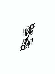 Cc1ccc(S(=O)(=O)NC(=O)NCCNC(=O)NS(=O)(=O)c2ccc(C)cc2)cc1